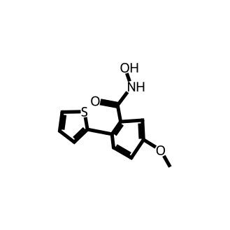 COc1ccc(-c2cccs2)c(C(=O)NO)c1